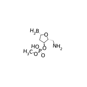 B[C@H]1C[C@H](OP(=O)(O)OC)[C@@H](CN)O1